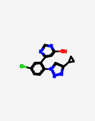 Oc1cc(-c2cc(Cl)ccc2-n2cc(C3CC3)nn2)ncn1